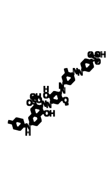 COc1cc(N=Nc2c(S(=O)(=O)O)cc3cc(Nc4ccc(C)cc4)ccc3c2O)c(O)cc1N=Nc1ccc(N=Nc2ccc(S(=O)(=O)O)cc2)c(C)c1